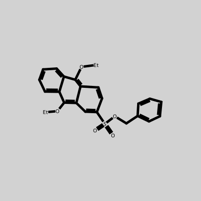 CCOc1c2ccccc2c(OCC)c2cc(S(=O)(=O)OCc3ccccc3)ccc12